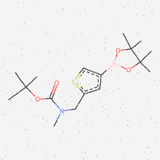 CN(Cc1cc(B2OC(C)(C)C(C)(C)O2)cs1)C(=O)OC(C)(C)C